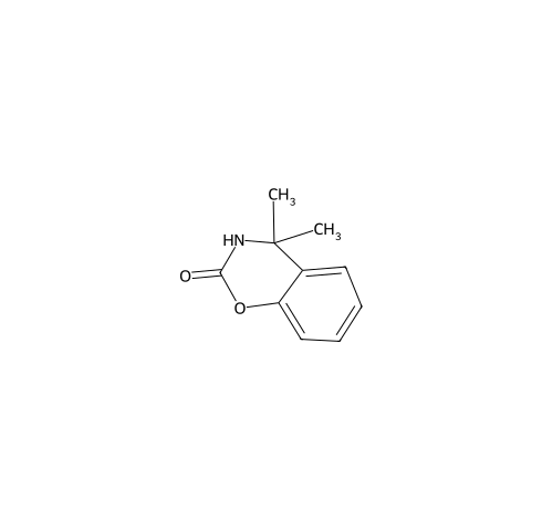 CC1(C)NC(=O)Oc2ccccc21